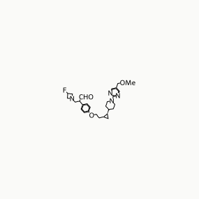 COCc1cnc(N2CCC([C@H]3CC3CCOc3ccc(C(C=O)CN4CC(F)C4)cc3)CC2)nc1